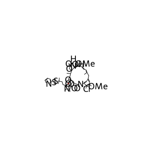 COc1cc2cc(c1Cl)N(C)C(=O)CC(OC(=O)C(C)N(C)C(=O)CCC(C)(C)SSc1ccccn1)C1(C)OC1C(C)C1CC(O)(NC(=O)O1)C(OC)/C=C/C=C(\C)C2